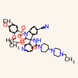 CCOc1cc(OC)ccc1S(=O)(=O)N1C(=O)C(NC(=O)N2CCC(N3CCN(CC)CC3)CC2)(c2cccnc2OCC)c2cc(C#N)ccc21